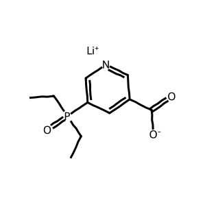 CCP(=O)(CC)c1cncc(C(=O)[O-])c1.[Li+]